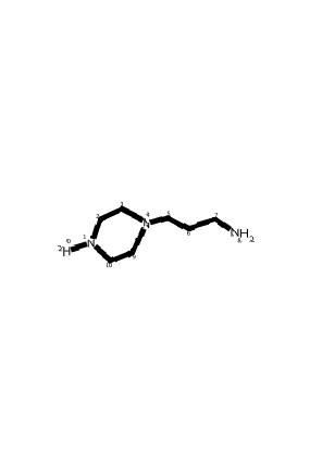 [2H]N1CCN(CCCN)CC1